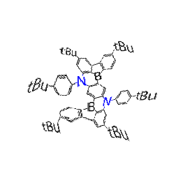 CC(C)(C)c1ccc(N2c3cc4c(cc3B3c5ccc(C(C)(C)C)cc5-c5cc(C(C)(C)C)cc2c53)N(c2ccc(C(C)(C)C)cc2)c2cc(C(C)(C)C)cc3c2B4c2ccc(C(C)(C)C)cc2-3)cc1